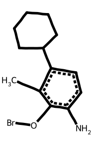 Cc1c(C2CCCCC2)ccc(N)c1OBr